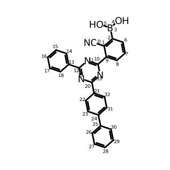 N#Cc1c(B(O)O)cccc1-c1nc(-c2ccccc2)nc(-c2ccc(-c3ccccc3)cc2)n1